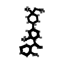 Cc1cnccc1C(=N)c1ncc(N2CCC(C)(CN)CC2)nc1N